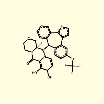 O=C1C2=C(O)C(O)C=CN2N([C@@H]2c3ccc(OC(F)(F)F)cc3-c3ccsc3-c3ccccc32)[C@@H]2COCCN12